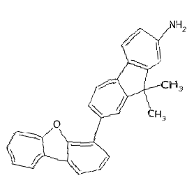 CC1(C)c2cc(N)ccc2-c2ccc(-c3cccc4c3oc3ccccc34)cc21